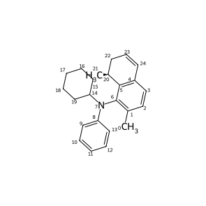 Cc1ccc2c(c1N(c1ccccc1)C1CCCCC1)[C@@H](C)CC=C2